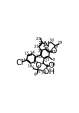 Cc1c([C@H](OC(C)(C)C)C(=O)O)c(-c2ccc(Cl)cc2)c2cc(C)n3c2c1OC(C)C3